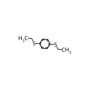 CCSc1ccc(SCC)cc1